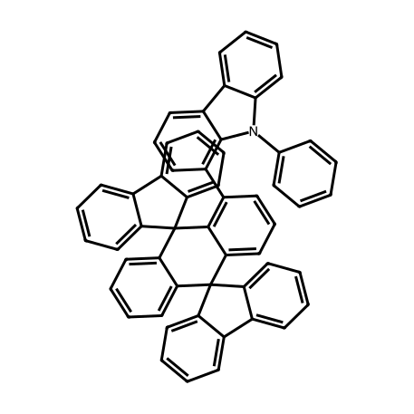 c1ccc(-n2c3ccccc3c3cccc(-c4cccc5c4C4(c6ccccc6-c6ccccc64)c4ccccc4C54c5ccccc5-c5ccccc54)c32)cc1